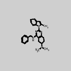 Cc1cc2ccccc2n1-c1nc2c(c(NCc3ccccc3)n1)CC(N(C)C)CC2